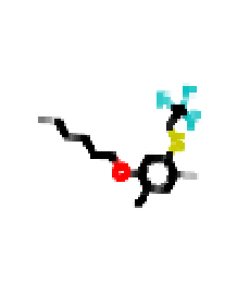 CCCCCCOc1cc(SCC(F)(F)F)c(C)cc1C